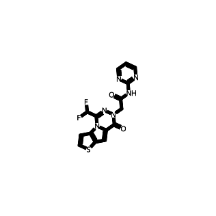 O=C(Cn1nc(C(F)F)n2c(cc3sccc32)c1=O)Nc1ncccn1